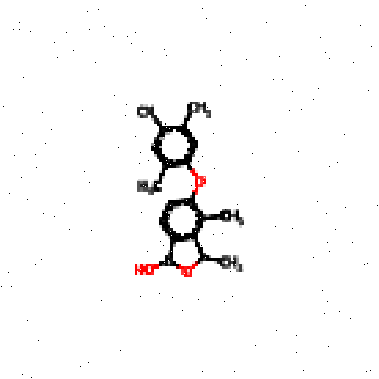 [C-]#[N+]c1cc(C)c(Oc2ccc3c(c2C)C(C)OB3O)cc1C